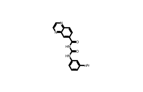 CCCc1cccc(NC(=O)NC(=O)c2ccc3nccnc3c2)c1